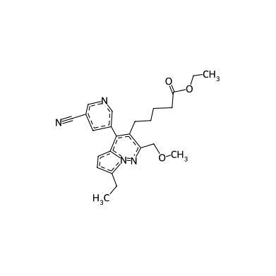 CCOC(=O)CCCCc1c(COC)nn2c(CC)ccc2c1-c1cncc(C#N)c1